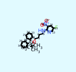 CC(C)(C)[Si](OCCCCNc1ncc(F)cc1[N+](=O)[O-])(c1ccccc1)c1ccccc1